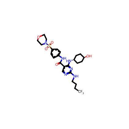 O=C(Nc1ccc(S(=O)(=O)N2CCOCC2)cc1)c1cnc(NCCCC(F)(F)F)nc1N[C@H]1CC[C@H](O)CC1